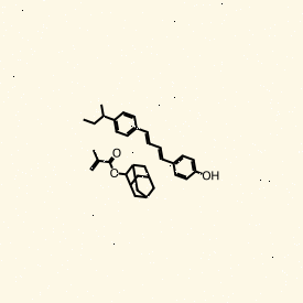 C=C(C)C(=O)OC1C2CC3CC(C2)CC1C3.CCC(C)c1ccc(C=CC=Cc2ccc(O)cc2)cc1